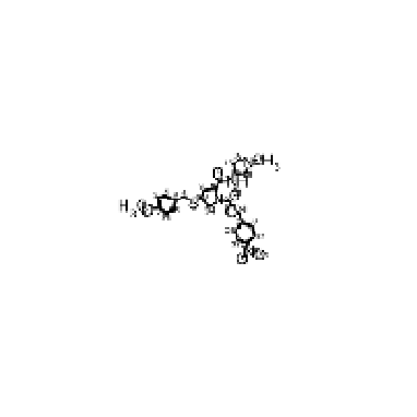 COc1ccc(CS[C@H]2C[C@@H](C(=O)N[C@@H]3CCN(C)C3)N(C(=O)OCc3ccc([N+](=O)[O-])cc3)C2)cc1